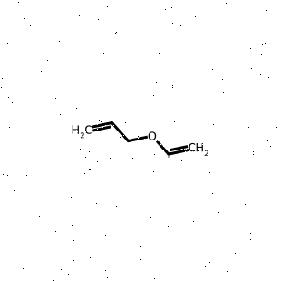 C=[C]OCC=C